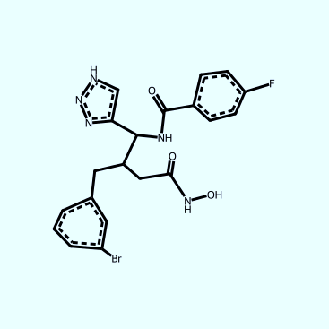 O=C(CC(Cc1cccc(Br)c1)C(NC(=O)c1ccc(F)cc1)c1c[nH]nn1)NO